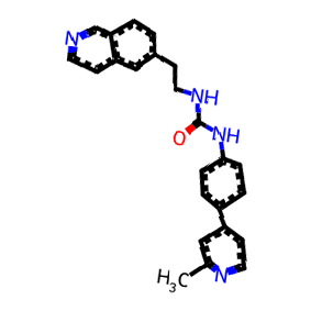 Cc1cc(-c2ccc(NC(=O)NCCc3ccc4cnccc4c3)cc2)ccn1